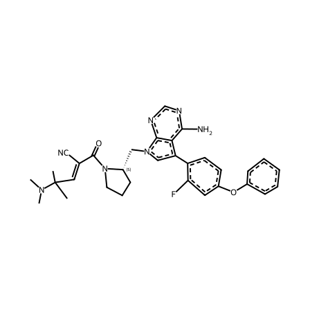 CN(C)C(C)(C)C=C(C#N)C(=O)N1CCC[C@H]1Cn1cc(-c2ccc(Oc3ccccc3)cc2F)c2c(N)ncnc21